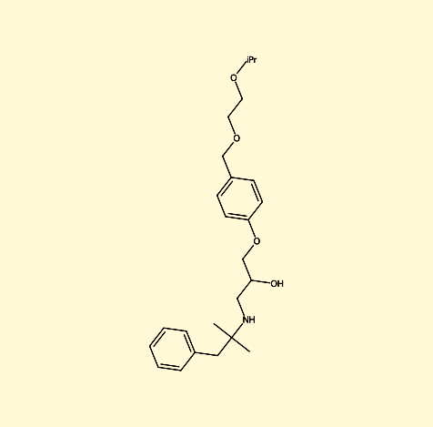 CC(C)OCCOCc1ccc(OCC(O)CNC(C)(C)Cc2ccccc2)cc1